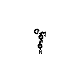 Cc1cc(N2CCCCCC2)c2ccc(OCc3ccc(C#N)cc3)cc2n1